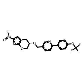 O=[N+]([O-])c1cn2c(n1)OC[C@@H](OCc1ccc(-c3ccc(OC(F)(F)F)cc3)nc1)C2